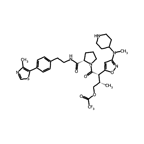 Cc1ncsc1-c1ccc(CCNC(=O)[C@@H]2CCCN2C(=O)[C@H](c2cc(N(C)C3CCNCC3)no2)[C@H](C)COC(=O)C(F)(F)F)cc1